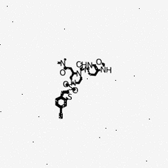 C#Cc1ccc2cc(S(=O)(=O)N3CCN(C(=O)N4CCC5=C(N4)OCN5)C(CC(=O)N(C)C)C3)sc2c1